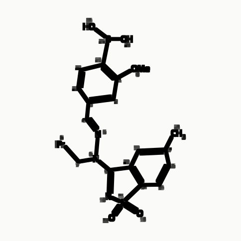 COc1cc(/C=N/N(CC(C)C)C2=NS(=O)(=O)c3ccc(C)cc32)ccc1B(O)O